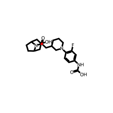 O=C(O)Nc1ccc(N2CCCC(CC(=O)N3C4CCC3CC(O)C4)C2)c(F)c1